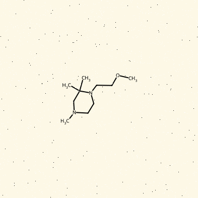 COCCN1CCN(C)CC1(C)C